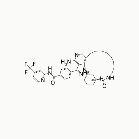 Nc1ncc2c3c1c(-c1ccc(C(=O)Nc4cc(C(F)(F)F)ccn4)cc1)nn3[C@@H]1CCC[C@H](C1)C(=O)NCCCCCCCC2